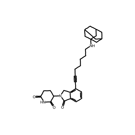 O=C1CCC(N2Cc3c(C#CCCCCCNC45CC6CC(CC(C6)C4)C5)cccc3C2=O)C(=O)N1